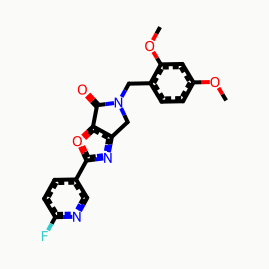 COc1ccc(CN2Cc3nc(-c4ccc(F)nc4)oc3C2=O)c(OC)c1